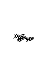 C=C.Cc1cccc(C2SC3(CCN(CCCC(=O)c4ccc(F)cc4)CC3)c3ccccc32)c1